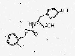 Cc1ccccc1COC(=O)N[C@H](CO)Cc1ccc(O)cc1